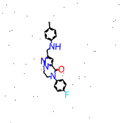 Cc1ccc(NCc2cc3n(n2)CCN(c2ccc(F)cc2)C3=O)cc1